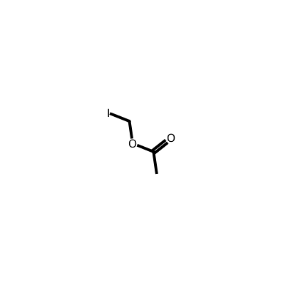 CC(=O)OCI